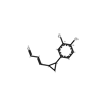 O=CC=CC1CC1c1ccc(Cl)c(Cl)c1